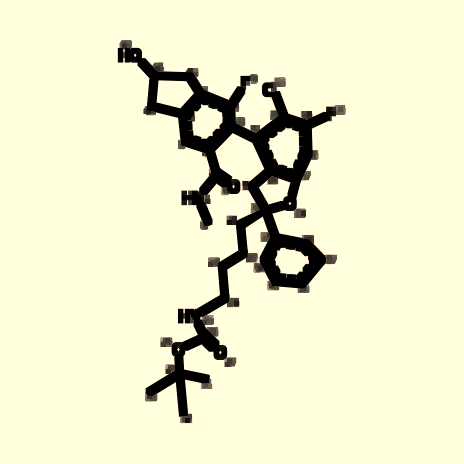 CNC(=O)c1cc2c(c(F)c1-c1c(Cl)c(F)cc3c1C[C@@](CCCCNC(=O)OC(C)(C)C)(c1ccccc1)O3)CC(O)C2